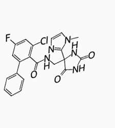 Cn1ccnc1C1(CNC(=O)c2c(Cl)cc(F)cc2-c2ccccc2)NC(=O)NC1=O